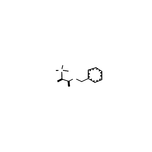 C=[C](C(=O)OCc1ccccc1)[Sn]([CH2]CCC)([CH2]CCC)[CH2]CCC